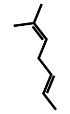 CC=CCC=C(C)C